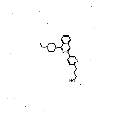 CCN1CCN(c2nc(-c3ccc(CCCO)nc3)cc3ccccc23)CC1